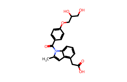 Cc1cc2c(CC(=O)O)cccc2n1C(=O)c1ccc(OCC(O)CO)cc1